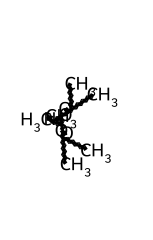 CCCCCCCCC(CCCCCCCC)CC(=O)OCc1cc(COC(=O)CC(CCCCCCCC)CCCCCCCC)cc(CN(C)C)c1